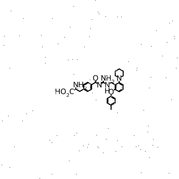 Cc1ccc(Oc2cccc(N3CCCCC3)c2CN/C(N)=N/C(=O)c2ccc(C[C@H](N)C(=O)O)cc2)cc1